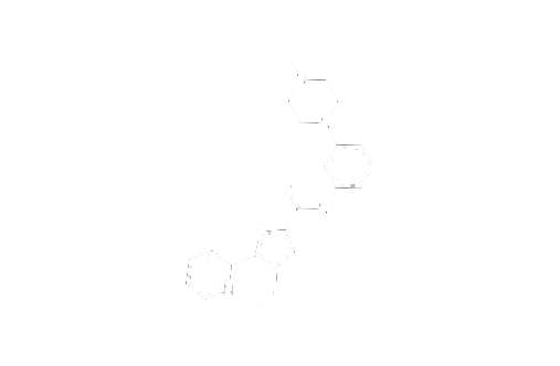 COc1cc(C(=O)Nc2cccc(N3CCN(C)CC3)c2)sc1-c1ccccn1